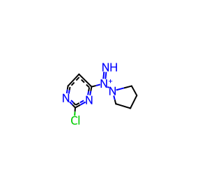 N=[N+](c1ccnc(Cl)n1)N1CCCC1